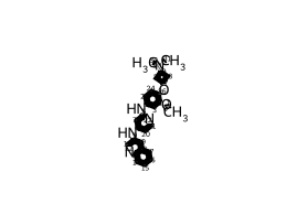 COc1cc(Nc2cc(Nc3cnc4ccccc4c3)ccn2)ccc1OC1CC(N(C)C)C1